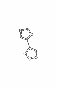 [c]1nocc1-c1cnco1